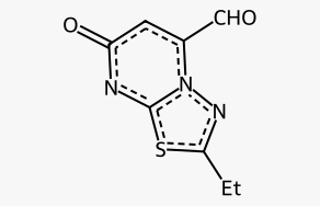 CCc1nn2c(C=O)cc(=O)nc2s1